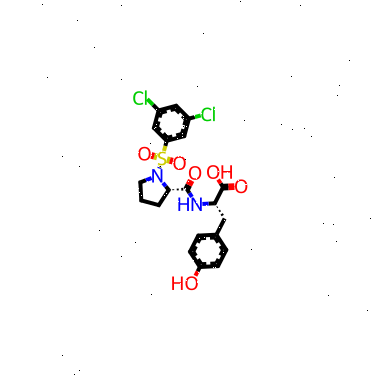 O=C(O)[C@H](Cc1ccc(O)cc1)NC(=O)[C@@H]1CCCN1S(=O)(=O)c1cc(Cl)cc(Cl)c1